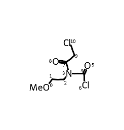 COCCN(C(=O)Cl)C(=O)CCl